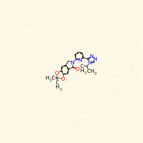 CC(C)n1cnnc1-c1cccc(N2Cc3cc4c(cc3C2=O)OC(C)(C)O4)n1